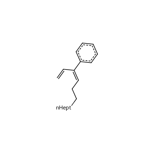 C=CC(=CCCCCCCCCC)c1ccccc1